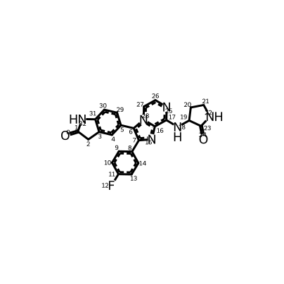 O=C1Cc2cc(-c3c(-c4ccc(F)cc4)nc4c(NC5CCNC5=O)nccn34)ccc2N1